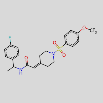 CC(NC(=O)C=C1CCN(S(=O)(=O)c2ccc(OC(F)(F)F)cc2)CC1)c1ccc(F)cc1